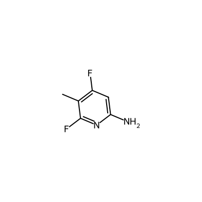 Cc1c(F)cc(N)nc1F